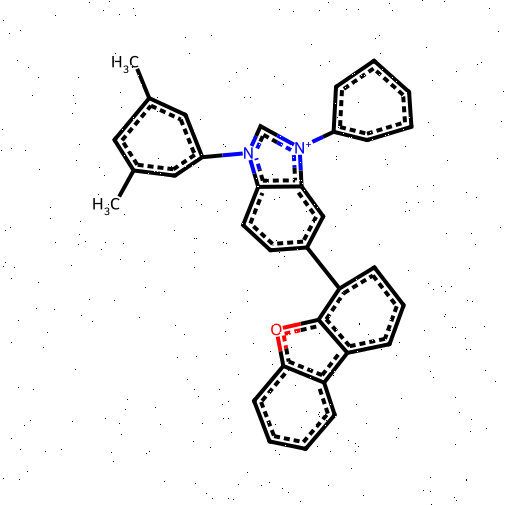 Cc1cc(C)cc(-n2c[n+](-c3ccccc3)c3cc(-c4cccc5c4oc4ccccc45)ccc32)c1